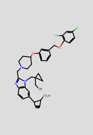 N#CCC1(Cn2c(CN3CCC(Oc4cccc(COc5ccc(Cl)cc5F)c4)CC3)nc3ccc(C4C#CC4C(=O)O)cc32)CC1